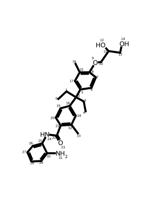 CCC(CC)(c1ccc(OCC(O)CO)c(C)c1)c1ccc(C(=O)Nc2ccccc2N)c(C)c1